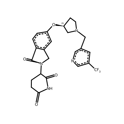 O=C1CCC(N2Cc3cc(O[C@H]4CCN(Cc5cncc(C(F)(F)F)c5)C4)ccc3C2=O)C(=O)N1